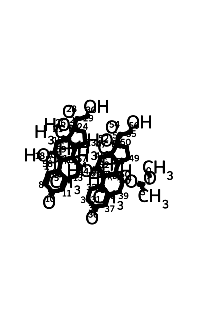 COC(C)=O.C[C@]12C=CC(=O)C=C1CC[C@@H]1[C@@H]2[C@@H](O)C[C@@]2(C)[C@H]1CC[C@]2(O)C(=O)CO.C[C@]12CCC(=O)C=C1CC[C@@H]1[C@@H]2[C@@H](O)C[C@@]2(C)[C@H]1CC[C@]2(O)C(=O)CO